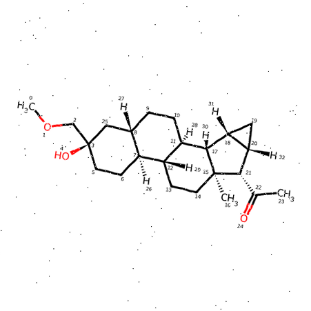 COC[C@@]1(O)CC[C@H]2[C@@H](CC[C@@H]3[C@@H]2CC[C@@]2(C)[C@H]3[C@@H]3C[C@@H]3[C@@H]2C(C)=O)C1